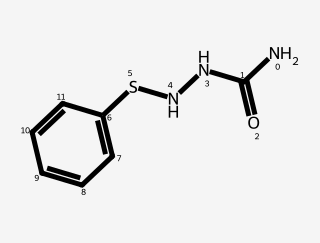 NC(=O)NNSc1ccccc1